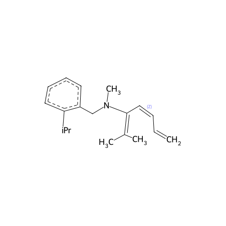 C=C/C=C\C(=C(C)C)N(C)Cc1ccccc1C(C)C